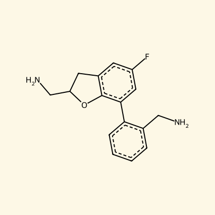 NCc1ccccc1-c1cc(F)cc2c1OC(CN)C2